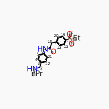 CCCNCc1ccc(NC(=O)Cc2ccc(S(=O)(=O)CC)cc2)cc1